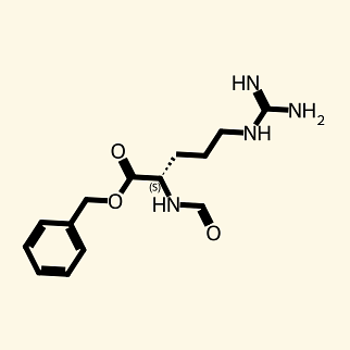 N=C(N)NCCC[C@H](NC=O)C(=O)OCc1ccccc1